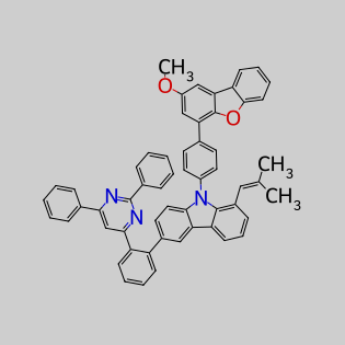 COc1cc(-c2ccc(-n3c4ccc(-c5ccccc5-c5cc(-c6ccccc6)nc(-c6ccccc6)n5)cc4c4cccc(C=C(C)C)c43)cc2)c2oc3ccccc3c2c1